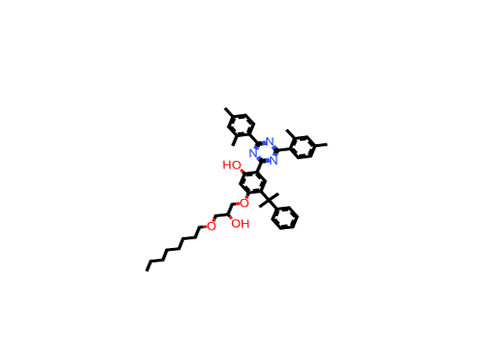 CCCCCCCCOCC(O)COc1cc(O)c(-c2nc(-c3ccc(C)cc3C)nc(-c3ccc(C)cc3C)n2)cc1C(C)(C)c1ccccc1